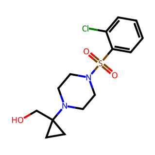 O=S(=O)(c1ccccc1Cl)N1CCN(C2(CO)CC2)CC1